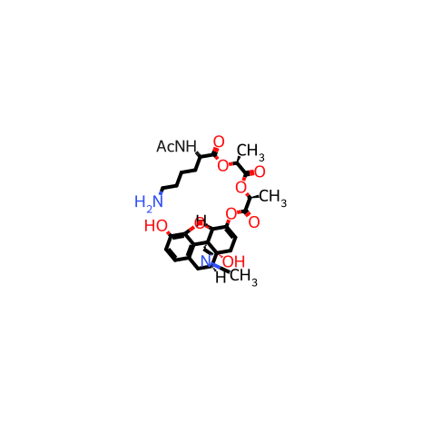 CC(=O)NC(CCCCN)C(=O)O[C@@H](C)C(=O)O[C@@H](C)C(=O)OC1=CC[C@@]2(O)[C@H]3Cc4ccc(O)c5c4[C@@]2(CCN3C)[C@H]1O5